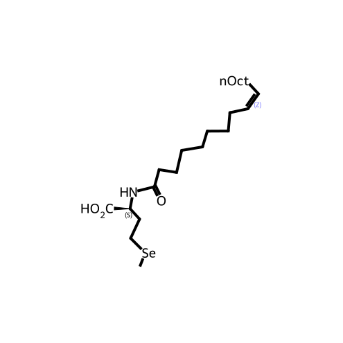 CCCCCCCC/C=C\CCCCCCCC(=O)N[C@@H](CC[Se]C)C(=O)O